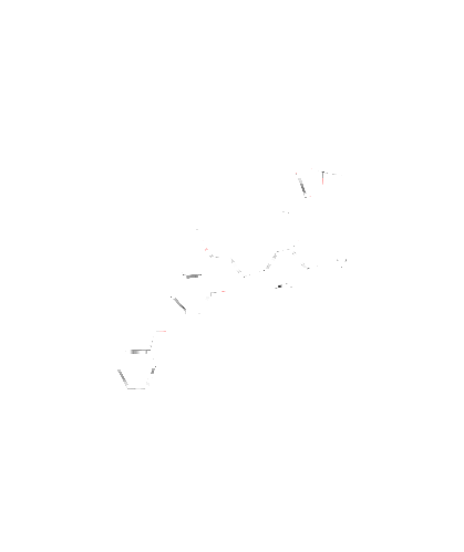 COc1ccc(-c2cc(=O)c3c(O)cc(OCc4ccccc4)cc3o2)cc1OCC1=COC(C)(C)O1